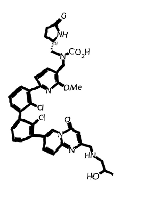 COc1nc(-c2cccc(-c3cccc(-c4ccc5nc(CNCC(C)O)cc(=O)n5c4)c3Cl)c2Cl)ccc1CN(C[C@@H]1CCC(=O)N1)C(=O)O